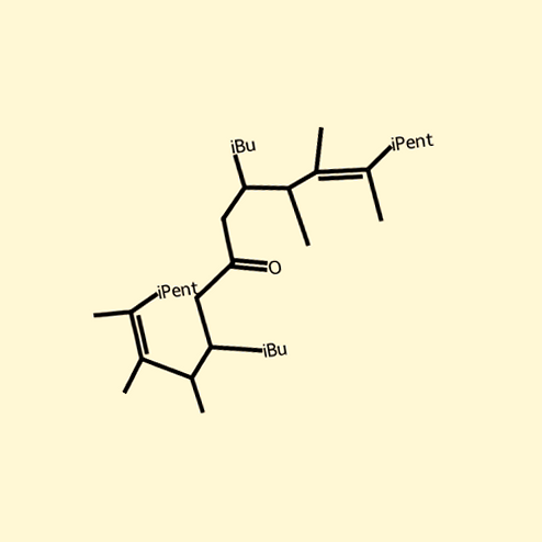 CCCC(C)C(C)=C(C)C(C)C(CC(=O)CC(C(C)CC)C(C)C(C)=C(C)C(C)CCC)C(C)CC